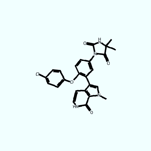 Cn1cc(-c2cc(N3C(=O)NC(C)(C)C3=O)ccc2Oc2ccc(Cl)cc2)c2cc[nH]c(=O)c21